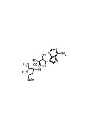 CSCC[C@@](N[C@H]1O[C@@H](n2cnc3c(N)ncnc32)[C@H](O)[C@@H]1O)(C(=O)O)N(N)N